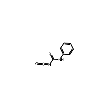 O=C=NC(=S)Nc1ccccc1